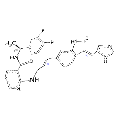 C[C@H](NC(=O)c1cccnc1NC/C=C/c1ccc2c(c1)NC(=O)/C2=C\c1cnc[nH]1)c1ccc(F)c(F)c1